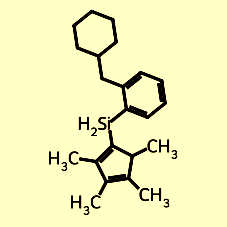 CC1=C(C)C(C)C([SiH2]c2ccccc2CC2CCCCC2)=C1C